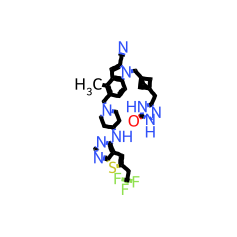 Cc1c(CN2CCC(Nc3ncnc4sc(CC(F)(F)F)cc34)CC2)ccc2c1cc(C#N)n2CC12CC(Cc3n[nH]c(=O)[nH]3)(C1)C2